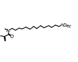 C=C(C)C(=O)N(C)CCCCCCCCCCCCCCCCCCCCCCCC